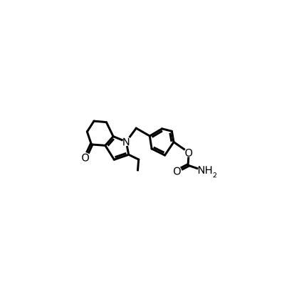 CCc1cc2c(n1Cc1ccc(OC(N)=O)cc1)CCCC2=O